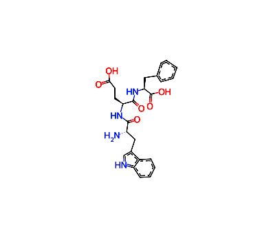 N[C@@H](Cc1c[nH]c2ccccc12)C(=O)N[C@@H](CCC(=O)O)C(=O)N[C@@H](Cc1ccccc1)C(=O)O